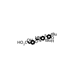 CC(Oc1ccc(CC(O)C(=O)O)cc1)c1nc2ccc(Sc3cc(C(C)(C)C)c(O)c(C(C)(C)C)c3)cc2[nH]1